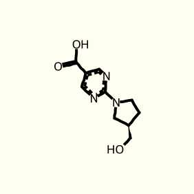 O=C(O)c1cnc(N2CC[C@@H](CO)C2)nc1